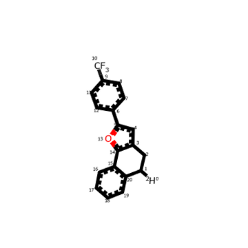 [2H]C1Cc2cc(-c3ccc(C(F)(F)F)cc3)oc2-c2ccccc21